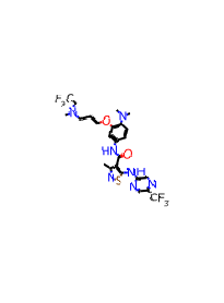 Cc1nsc(Nc2cnc(C(F)(F)F)cn2)c1C(=O)Nc1ccc(N(C)C)c(OCCCN(C)CC(F)(F)F)c1